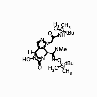 CN/C(=N\O[Si](C)(C)C(C)(C)C)[C@@H]1c2c(cnn2CC(=O)N[Si](C)(C)C(C)(C)C)[C@@H]2CN1C(=O)N2O